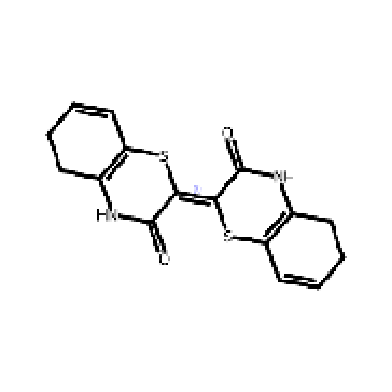 O=C1NC2=C(C=CCC2)S/C1=C1/SC2=C(CCC=C2)NC1=O